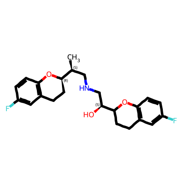 C[C@@H](CNC[C@H](O)C1CCc2cc(F)ccc2O1)[C@H]1CCc2cc(F)ccc2O1